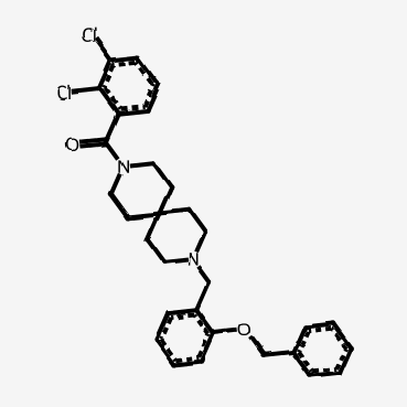 O=C(c1cccc(Cl)c1Cl)N1CCC2(CCN(Cc3ccccc3OCc3ccccc3)CC2)CC1